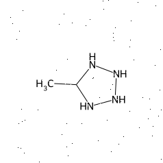 CC1NNNN1